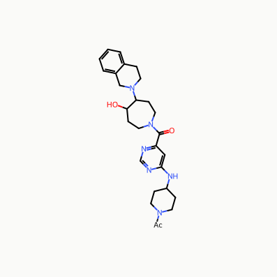 CC(=O)N1CCC(Nc2cc(C(=O)N3CCC(O)C(N4CCc5ccccc5C4)CC3)ncn2)CC1